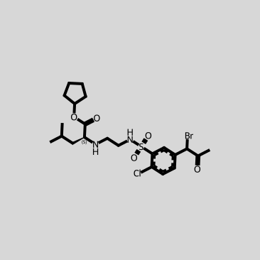 CC(=O)C(Br)c1ccc(Cl)c(S(=O)(=O)NCCN[C@@H](CC(C)C)C(=O)OC2CCCC2)c1